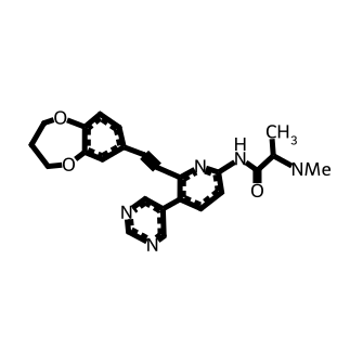 CNC(C)C(=O)Nc1ccc(-c2cncnc2)c(C#Cc2ccc3c(c2)OCCCO3)n1